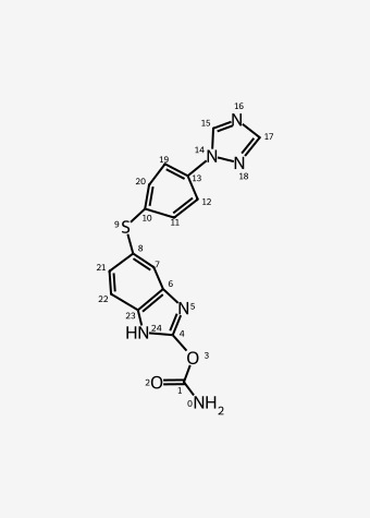 NC(=O)Oc1nc2cc(Sc3ccc(-n4cncn4)cc3)ccc2[nH]1